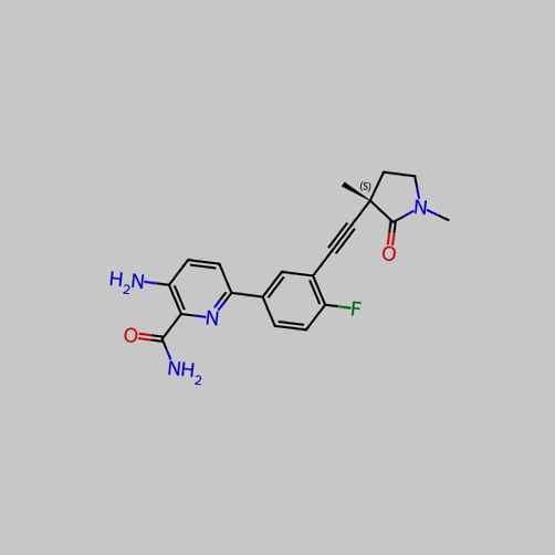 CN1CC[C@@](C)(C#Cc2cc(-c3ccc(N)c(C(N)=O)n3)ccc2F)C1=O